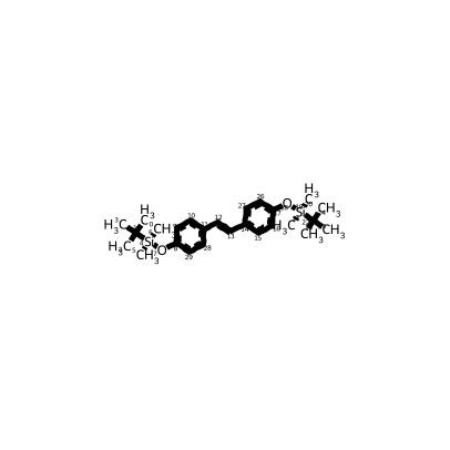 CC(C)(C)[Si](C)(C)Oc1ccc(C=Cc2ccc(O[Si](C)(C)C(C)(C)C)cc2)cc1